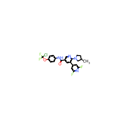 C[C@@H]1CCN(c2ncc(C(=O)Nc3ccc(OC(F)(F)Cl)cc3)cc2-c2cc(F)nc(F)c2)C1